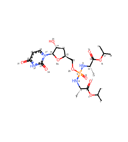 CC(C)OC(=O)[C@H](C)NP(=O)(N[C@@H](C)C(=O)OC(C)C)OC[C@@H]1C[C@@H](O)[C@H](n2ccc(=O)[nH]c2=O)O1